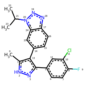 Cc1[nH]nc(-c2ccc(F)c(Cl)c2)c1-c1ccc2nnn(C(C)C)c2c1